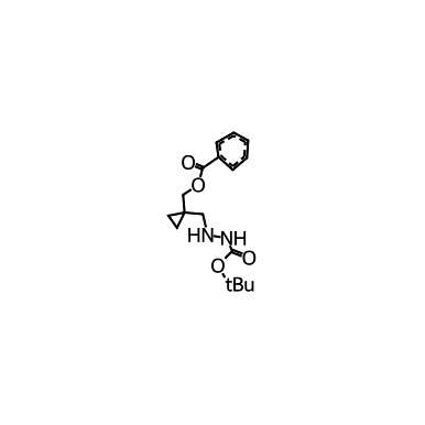 CC(C)(C)OC(=O)NNCC1(COC(=O)c2ccccc2)CC1